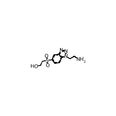 NCCn1nnc2cc(S(=O)(=O)CCO)ccc21